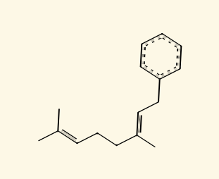 CC(C)=CCC/C(C)=C/Cc1cc[c]cc1